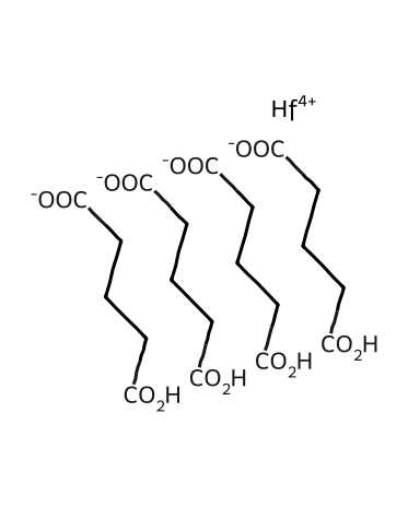 O=C([O-])CCCC(=O)O.O=C([O-])CCCC(=O)O.O=C([O-])CCCC(=O)O.O=C([O-])CCCC(=O)O.[Hf+4]